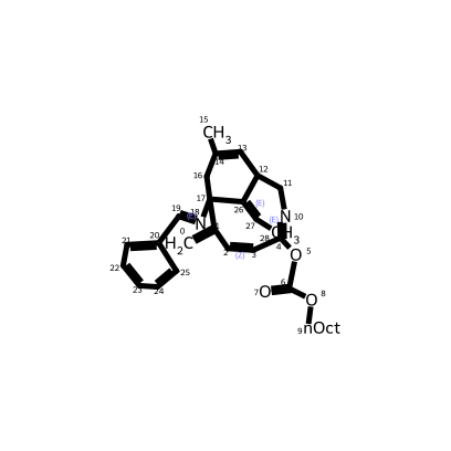 C=C1/C=C\C(OC(=O)OCCCCCCCC)=N/CC2C=C(C)CC1(/N=C/c1ccccc1)/C2=C/C